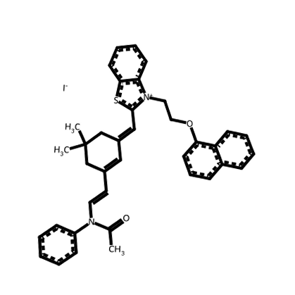 CC(=O)N(C=CC1=CC(=Cc2sc3ccccc3[n+]2CCOc2cccc3ccccc23)CC(C)(C)C1)c1ccccc1.[I-]